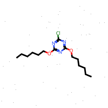 CCCCCCOc1nc(Cl)nc(OCCCCCC)n1